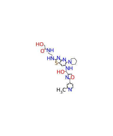 Cc1cc(-c2nc(C(O)Nc3cc4sc(NCCNC(=O)CO)nc4nc3N3CCCCC3)co2)ccn1